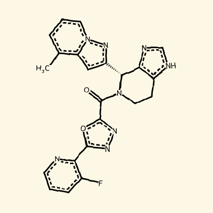 Cc1cccn2nc([C@@H]3c4nc[nH]c4CCN3C(=O)c3nnc(-c4ncccc4F)o3)cc12